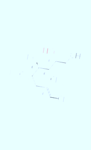 C/C=C/C[C@H](C)[C@@H](C)[C@@H](C)[C@H](O)CC